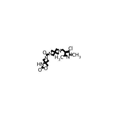 Cc1nn(C)c(Cl)c1CN1CC2(C1)CN(C(=O)N1CC3(COC(=O)N3)C1)C2